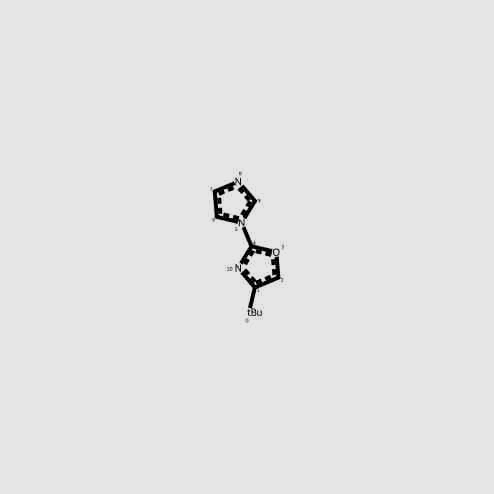 CC(C)(C)c1coc(-n2ccnc2)n1